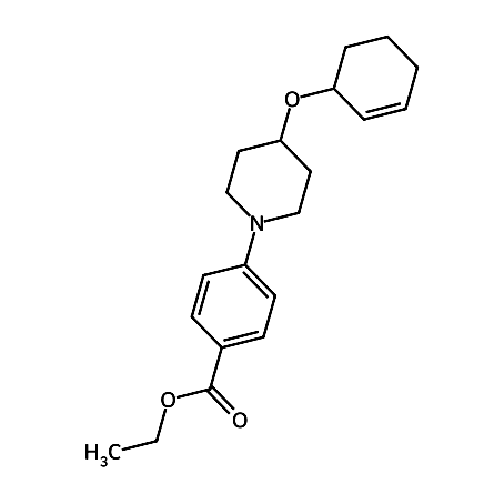 CCOC(=O)c1ccc(N2CCC(OC3C=CCCC3)CC2)cc1